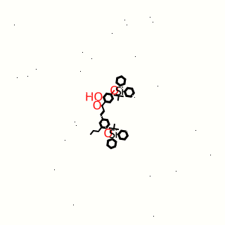 CCCc1cc(/C=C/C(=O)c2ccc(O[Si](c3ccccc3)(c3ccccc3)C(C)(C)C)cc2O)ccc1O[Si](c1ccccc1)(c1ccccc1)C(C)(C)C